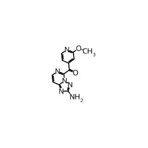 COc1cc(C(=O)c2nccc3nc(N)nn23)ccn1